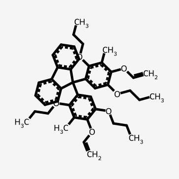 C=COc1c(OCCC)cc(C2(c3cc(OCCC)c(OC=C)c(C)c3OCCC)c3ccccc3-c3ccccc32)c(OCCC)c1C